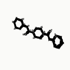 O=C(Cc1ccccn1)N1CCN(C(=O)CC2CCCCC2)CC1